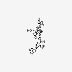 O=C(NC1(CN[C@@H](CCO)c2ccc(Cl)cc2)CCN(c2ncnc3[nH]ccc23)CC1)OCc1ccc(NC(=O)[C@@H]2CC(F)(F)CN2C(=O)CNC(=O)c2ccnc3ccccc23)cc1